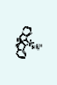 CC(C)C1CC2CC=CC=C2[CH]1[Hf]([CH3])([CH3])(=[SiH2])[CH]1C2=CC=CCC2CC1C(C)C.Cl